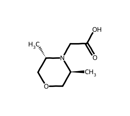 C[C@H]1COC[C@H](C)N1CC(=O)O